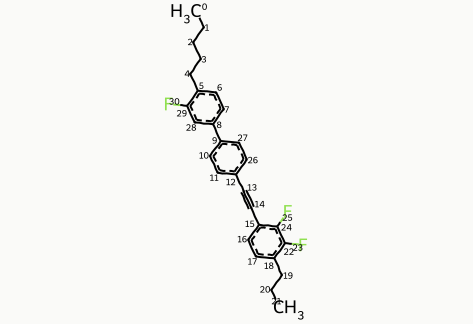 CCCCCc1ccc(-c2ccc(C#Cc3ccc(CCC)c(F)c3F)cc2)cc1F